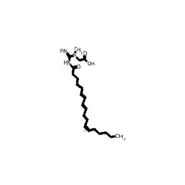 CCCCC/C=C\CCCCCCCCCCC(=O)NC(=N)N(C)CC(=O)O